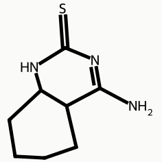 NC1=NC(=S)NC2CCCCC12